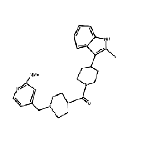 CNc1cc(CN2CCC(C(=O)N3CCC(c4c(C)[nH]c5ccccc45)CC3)CC2)ccn1